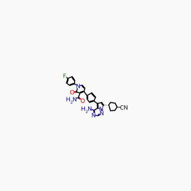 N#C[C@H]1CC[C@H](c2cc(-c3ccc(-c4ccn(-c5ccc(F)cc5)c(=O)c4C(N)=O)cc3)c3c(N)ncnn32)CC1